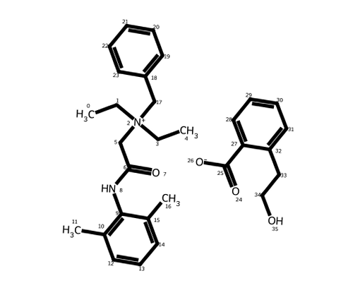 CC[N+](CC)(CC(=O)Nc1c(C)cccc1C)Cc1ccccc1.O=C([O-])c1ccccc1CCO